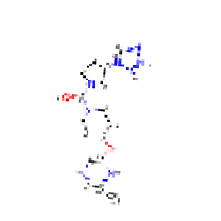 O=C(N1CCC(Oc2cncc(C(F)(F)F)n2)CC1)N1CCC(n2cnnn2)C1